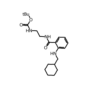 CC(C)(C)OC(=O)NCCNC(=O)c1ccccc1NCC1CCCCC1